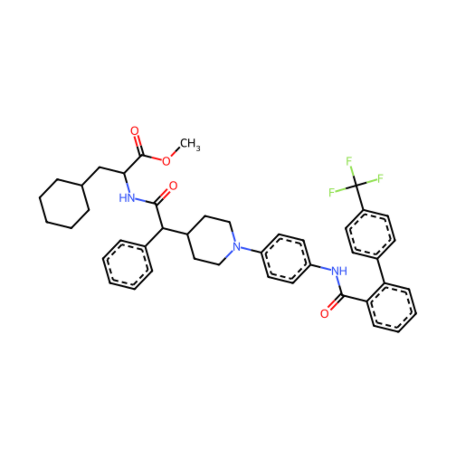 COC(=O)C(CC1CCCCC1)NC(=O)C(c1ccccc1)C1CCN(c2ccc(NC(=O)c3ccccc3-c3ccc(C(F)(F)F)cc3)cc2)CC1